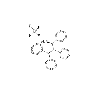 F[B-](F)(F)F.[NH3+][C@@H](c1ccccc1)[C@H](c1ccccc1)P(c1ccccc1)c1ccccc1